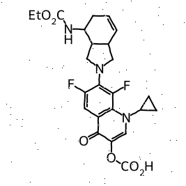 CCOC(=O)NC1CC=CC2CN(c3c(F)cc4c(=O)c(OC(=O)O)cn(C5CC5)c4c3F)CC21